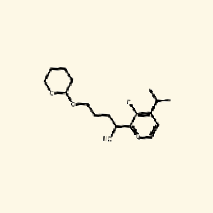 CC(C)c1ccnc(C(O)CCCOC2CCCCO2)c1F